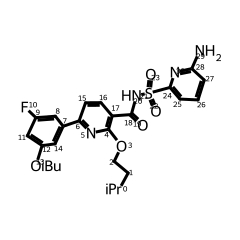 CC(C)CCOc1nc(-c2cc(F)cc(OCC(C)C)c2)ccc1C(=O)NS(=O)(=O)c1cccc(N)n1